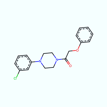 O=C(COc1ccccc1)N1CCN(c2cccc(Cl)c2)CC1